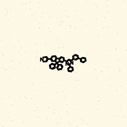 c1ccc(-c2cccc(-c3cc(-c4ccc5c(c4)C(c4ccccc4)(c4ccccc4)c4cc(-c6ccncc6)ccc4-5)nc(-c4ccccc4)n3)c2)cc1